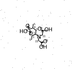 CCC(CC(C)S(=O)(=O)O)N(CC(=O)O)CC(=O)O